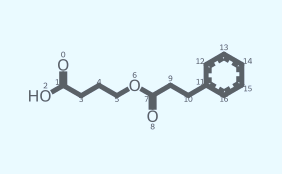 O=C(O)CCCOC(=O)CCc1ccccc1